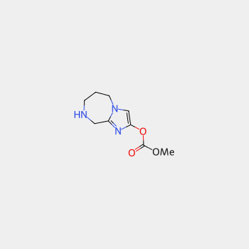 COC(=O)Oc1cn2c(n1)CNCCC2